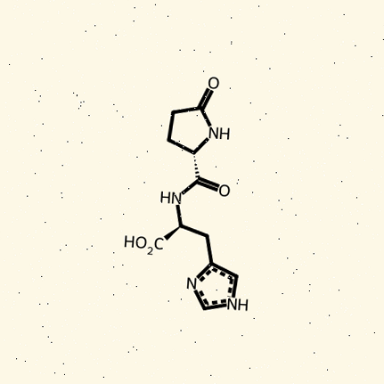 O=C1CC[C@@H](C(=O)N[C@@H](Cc2c[nH]cn2)C(=O)O)N1